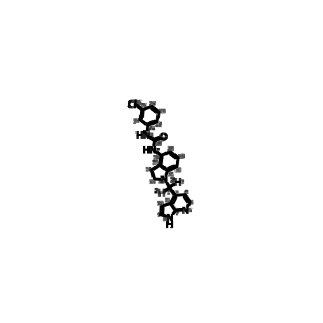 [2H]C([2H])(c1ccnc2[nH]ccc12)N1CCc2c(NC(=O)Nc3cccc(Cl)c3)cccc21